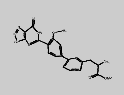 CCOc1cc(-c2cccc(CC(C)C(=O)OC)c2)ccc1-c1nc2[nH]nnc2c(=O)[nH]1